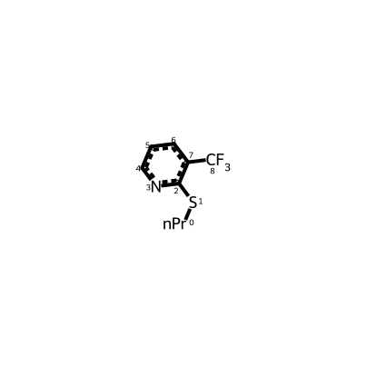 CCCSc1ncccc1C(F)(F)F